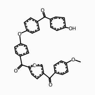 COc1ccc(C(=O)c2ccc(C(=O)c3ccc(Oc4ccc(C(=O)c5ccc(O)cc5)cc4)cc3)cc2)cc1